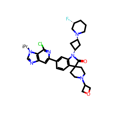 CC(C)n1cnc2cc(-c3ccc4c(c3)N([C@H]3C[C@@H](N5CCC[C@@H](F)C5)C3)C(=O)C43CCN(C4COC4)CC3)nc(Cl)c21